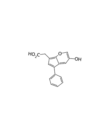 O=C(O)Cc1cc(-c2ccccc2)c2cc(O)coc1-2